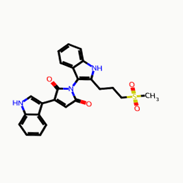 CS(=O)(=O)CCCc1[nH]c2ccccc2c1N1C(=O)C=C(c2c[nH]c3ccccc23)C1=O